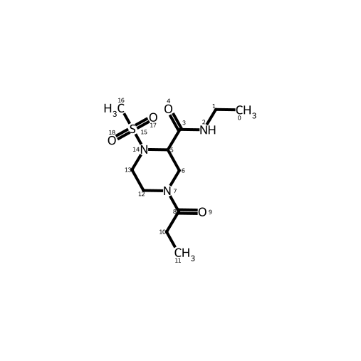 CCNC(=O)C1CN(C(=O)CC)CCN1S(C)(=O)=O